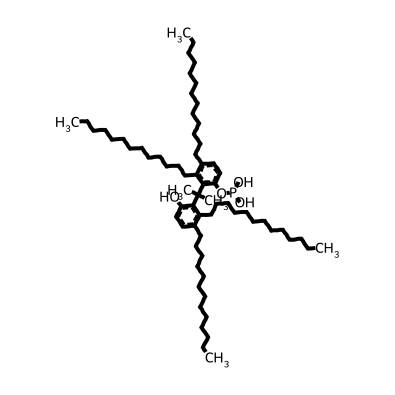 CCCCCCCCCCCCCc1ccc(O)c(C(C)(C)c2c(OP(O)O)ccc(CCCCCCCCCCCCC)c2CCCCCCCCCCCCC)c1CCCCCCCCCCCCC